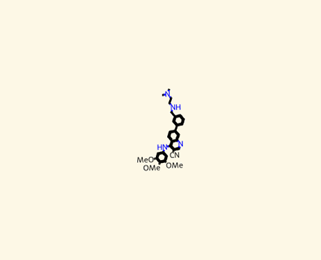 COc1cc(Nc2c(C#N)cnc3cc(-c4cccc(CNCCN(C)C)c4)ccc23)cc(OC)c1OC